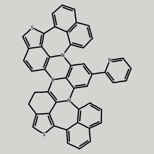 c1ccc(-c2cc3c4c(c2)-n2c5cccc6cccc(c7scc8ccc(c2c87)B4C2=c4c7c(csc7c7cccc8cccc(c87)n4-3)CC2)c65)nc1